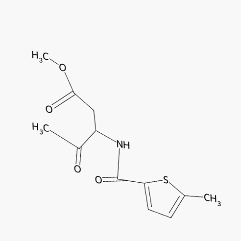 COC(=O)CC(NC(=O)c1ccc(C)s1)C(C)=O